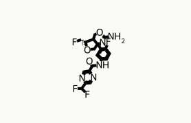 NC1=NC2(c3cc(NC(=O)c4cnc(C(F)F)cn4)ccc3F)CO[C@H](CF)C2CO1